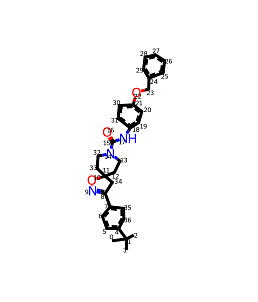 CC(C)(C)c1ccc(C2=NOC3(CCN(C(=O)Nc4ccc(OCc5ccccc5)cc4)CC3)C2)cc1